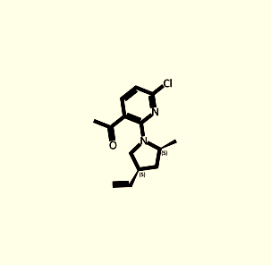 C=C[C@@H]1C[C@H](C)N(c2nc(Cl)ccc2C(C)=O)C1